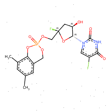 Cc1cc(C)c2c(c1)COP(=O)(OC[C@]1(F)C[C@@H](O)[C@H](n3cc(F)c(=O)[nH]c3=O)O1)O2